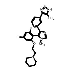 Cc1[nH]nnc1-c1ccnc(-c2ncn(C)c2-c2c(F)cc(F)cc2OCCN2CCCCC2)c1